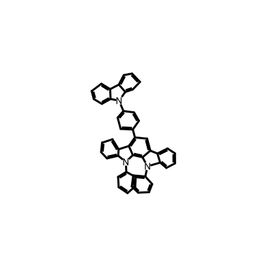 c1ccc(-n2c3ccccc3c3cc(-c4ccc(-n5c6ccccc6c6ccccc65)cc4)c4c5ccccc5n(-c5ccccc5)c4c32)cc1